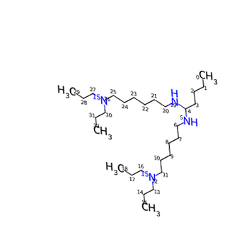 CCCCC(NCCCCCC[15N](CCC)CCC)NCCCCCC[15N](CCC)CCC